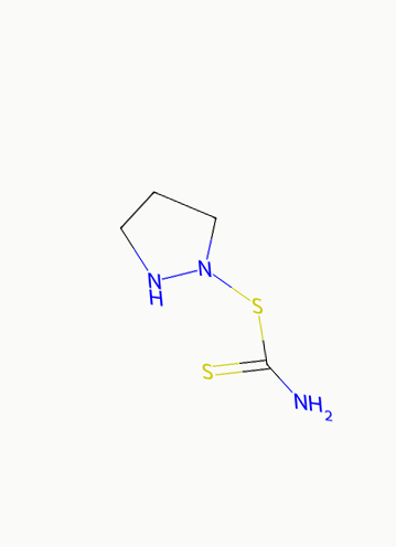 NC(=S)SN1CCCN1